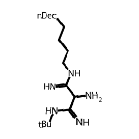 CCCCCCCCCCCCCCNC(=N)C(N)C(=N)NC(C)(C)C